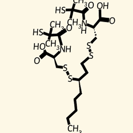 CCCCC[C@H](CCSSC[C@H](NC(=O)C(C)(C)S)C(=O)O)SSC[C@H](NC(=O)C(C)(C)S)C(=O)O